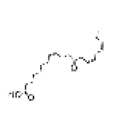 CC/C=C\C/C=C\CC(=O)CC/C=C\CCCCCCC(=O)O